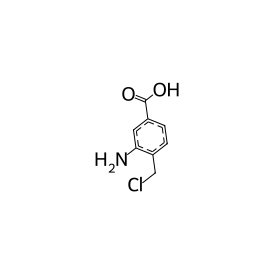 Nc1cc(C(=O)O)ccc1CCl